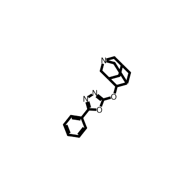 c1ccc(-c2nnc(OC3C4CC5CC3CN(C5)C4)o2)cc1